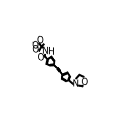 COC(=O)C(C)(C=O)NC(=O)c1ccc(C#Cc2ccc(CN3CCCOCC3)cc2)cc1